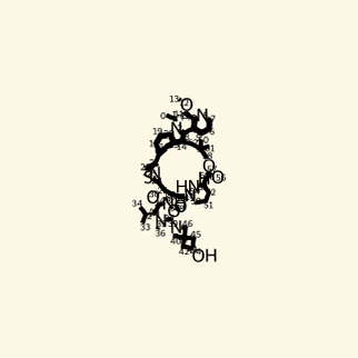 CCn1c(-c2cccnc2[C@H](C)OC)c2c3cc(ccc31)-c1csc(n1)C[C@H](NC(=O)[C@H](C(C)C)N(C)C(=O)N1CC3(CC(O)C3)C1)C(=O)N1CCC[C@H](N1)C(=O)OCC(C)(C)C2